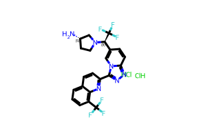 Cl.Cl.N[C@H]1CCN([C@H](c2ccc3nnc(-c4ccc5cccc(C(F)(F)F)c5n4)n3c2)C(F)(F)F)C1